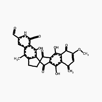 C=C1C=C(OC)C(=O)c2c(O)c3c(c(O)c21)C(=O)C1(CCc2c1c(O)c1c(=O)[nH]c(C=O)cc1c2C)C3=O